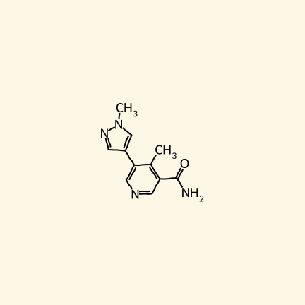 Cc1c(C(N)=O)cncc1-c1cnn(C)c1